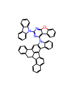 c1ccc2c(c1)CC1c3c-2cc2c(c3-c3ccc4ccccc4c31)c1ccccc1n2-c1nc(-n2c3ccccc3c3ccccc32)nc2oc3ccccc3c12